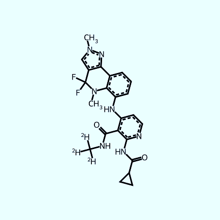 [2H]C([2H])([2H])NC(=O)c1c(Nc2cccc3c2N(C)C(F)(F)c2cn(C)nc2-3)ccnc1NC(=O)C1CC1